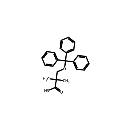 CC(C)(COC(c1ccccc1)(c1ccccc1)c1ccccc1)C(=O)S